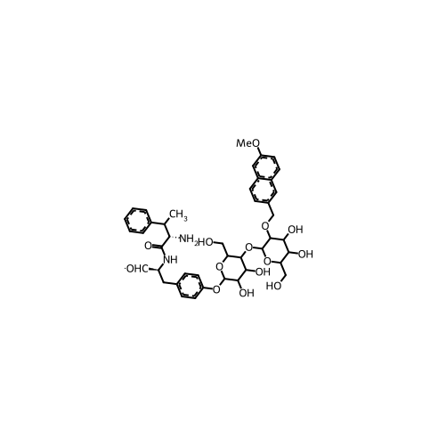 COc1ccc2cc(COC3C(OC4C(CO)OC(Oc5ccc(C[C@@H]([C]=O)NC(=O)[C@@H](N)C(C)c6ccccc6)cc5)C(O)C4O)OC(CO)C(O)C3O)ccc2c1